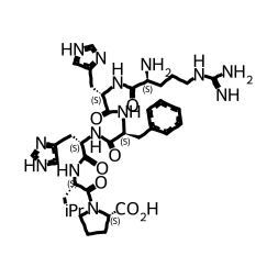 CC(C)C[C@H](NC(=O)[C@H](Cc1c[nH]cn1)NC(=O)[C@H](Cc1ccccc1)NC(=O)[C@H](Cc1c[nH]cn1)NC(=O)[C@@H](N)CCCNC(=N)N)C(=O)N1CCC[C@H]1C(=O)O